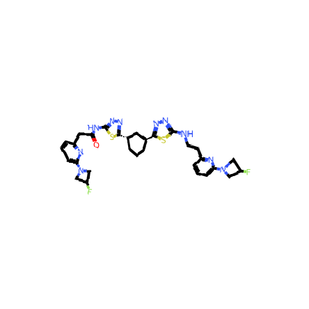 O=C(Cc1cccc(N2CC(F)C2)n1)Nc1nnc([C@H]2CCC[C@H](c3nnc(NCCc4cccc(N5CC(F)C5)n4)s3)C2)s1